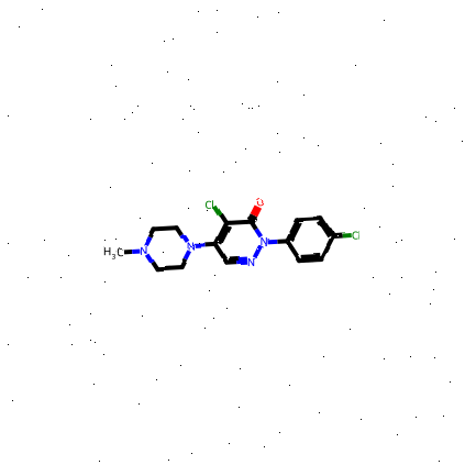 CN1CCN(c2cnn(-c3ccc(Cl)cc3)c(=O)c2Cl)CC1